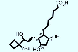 CCCCC1(C(O)C=C[C@@H]2[C@@H](CCCCCCC(=O)O)[C@@H](O)C[C@H]2O)CCC1